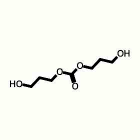 O=C(OCCCO)OCCCO